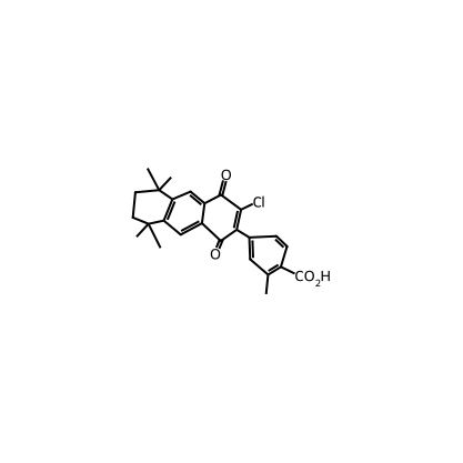 Cc1cc(C2=C(Cl)C(=O)c3cc4c(cc3C2=O)C(C)(C)CCC4(C)C)ccc1C(=O)O